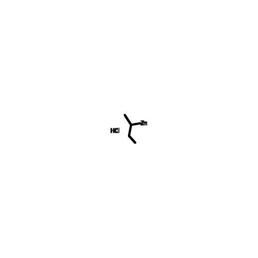 CC[CH](C)[Zn].Cl